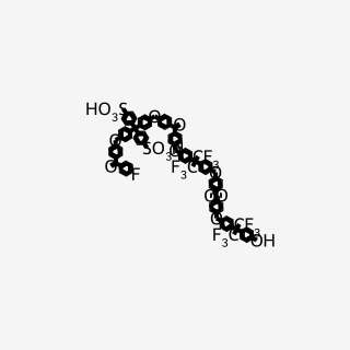 O=C(c1ccc(F)cc1)c1ccc(Oc2ccc(C(c3ccc(Oc4ccc(C(=O)c5ccc(Oc6ccc(C(c7ccc(Oc8ccc(S(=O)(=O)c9ccc(Oc%10ccc(C(c%11ccc(O)cc%11)(C(F)(F)F)C(F)(F)F)cc%10)cc9)cc8)cc7)(C(F)(F)F)C(F)(F)F)cc6)cc5)cc4)cc3)(c3ccc(S(=O)(=O)O)cc3)c3ccc(S(=O)(=O)O)cc3)cc2)cc1